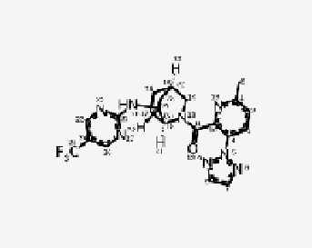 Cc1ccc(-n2nccn2)c(C(=O)N2C[C@@H]3CC[C@H]2[C@H](Nc2ncc(C(F)(F)F)cn2)C3)n1